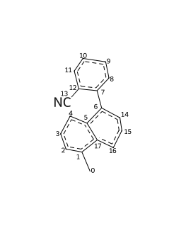 Cc1cccc2c(-c3ccccc3C#N)cccc12